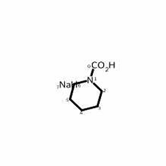 O=C(O)N1CCCCC1.[NaH]